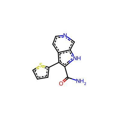 NC(=O)c1[nH]c2cnccc2c1-c1cccs1